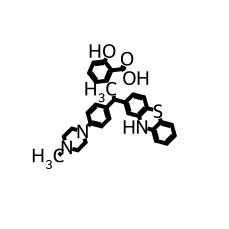 CC(c1ccc(N2CCN(C)CC2)cc1)c1ccc2c(c1)Nc1ccccc1S2.O=C(O)c1ccccc1O